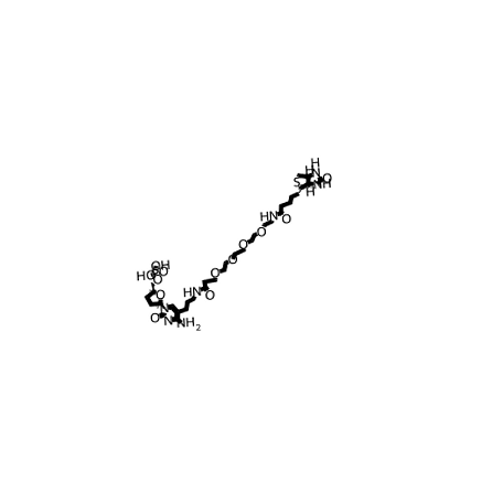 Nc1nc(=O)n([C@H]2CC[C@@H](COP(=O)(O)O)O2)cc1CCCNC(=O)CCOCCOCCOCCOCCNC(=O)CCCC[C@@H]1SC[C@@H]2NC(=O)N[C@@H]21